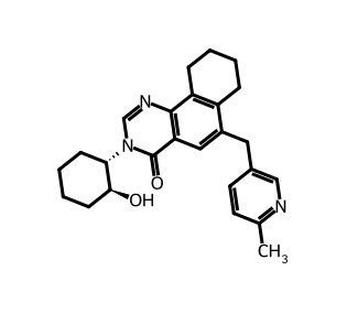 Cc1ccc(Cc2cc3c(=O)n([C@H]4CCCC[C@@H]4O)cnc3c3c2CCCC3)cn1